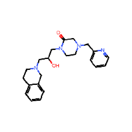 O=C1CN(Cc2ccccn2)CCN1CC(O)CN1CCc2ccccc2C1